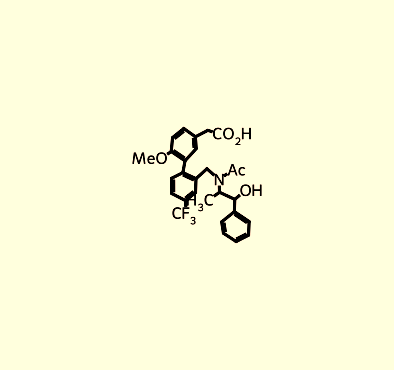 COc1ccc(CC(=O)O)cc1-c1ccc(C(F)(F)F)cc1CN(C(C)=O)C(C)C(O)c1ccccc1